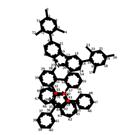 Cc1cc(C)c(-c2ccc3c(c2)c2cc(-c4c(C)cc(C)cc4C)ccc2n3-c2cccc(-c3nc(-c4ccccc4)cc(-c4ccccc4)n3)c2-c2ccccc2-n2c3ccccc3c3ccccc32)c(C)c1